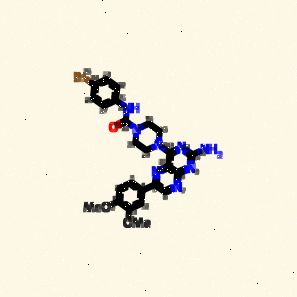 COc1ccc(-c2cnc3nc(N)nc(N4CCN(C(=O)Nc5ccc(Br)cc5)CC4)c3n2)cc1OC